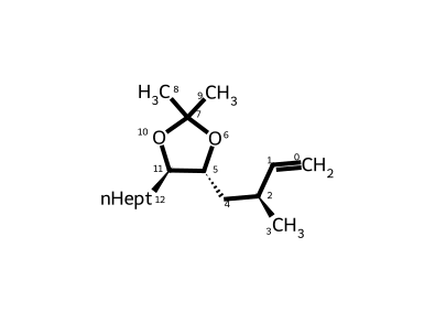 C=C[C@@H](C)C[C@H]1OC(C)(C)O[C@@H]1CCCCCCC